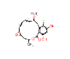 CC1CC2OC2/C=C\C=C\C(=O)Cc2c(Cl)c(O)cc(O)c2C(=O)O1.[PbH2]